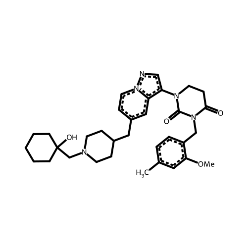 COc1cc(C)ccc1CN1C(=O)CCN(c2cnn3ccc(CC4CCN(CC5(O)CCCCC5)CC4)cc23)C1=O